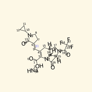 O=C(O)C1=C(/C=C2\CCN(C3CC3)C2=O)C[C@@H]2CN(C(=O)C(F)(F)F)[C@@H]3C(=O)N1[C@H]23.[NaH]